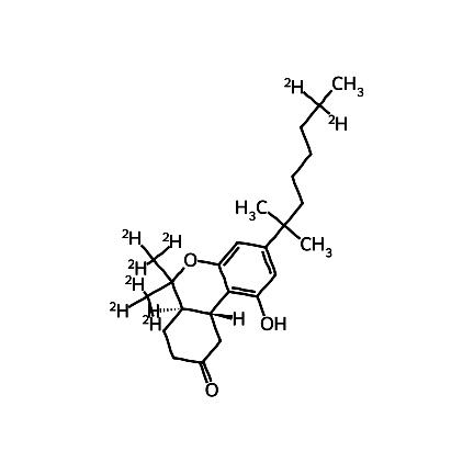 [2H]C([2H])(C)CCCCC(C)(C)c1cc(O)c2c(c1)OC(C([2H])([2H])[2H])(C([2H])([2H])[2H])[C@@H]1CCC(=O)C[C@@H]21